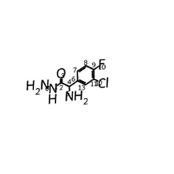 NNC(=O)C(N)c1ccc(F)c(Cl)c1